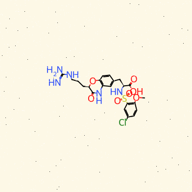 COc1ccc(Cl)cc1S(=O)(=O)N[C@@H](Cc1ccc2c(c1)NC(=O)[C@@H](CCCNC(=N)N)O2)C(=O)O